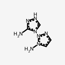 Nc1nc[nH]n1.Nn1ccnn1